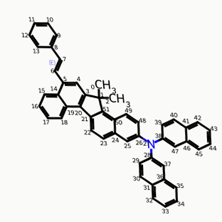 CC1(C)c2cc(/C=C/c3ccccc3)c3ccccc3c2-c2ccc3cc(N(c4ccc5ccccc5c4)c4ccc5ccccc5c4)ccc3c21